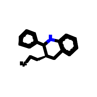 CCC[C@H]1Cc2ccccc2NC1c1ccccc1